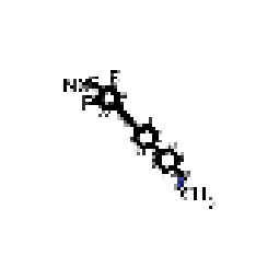 C/C=C/C1CCC(C2CC=C(C#Cc3cc(F)c(SC#N)c(F)c3)CC2)CC1